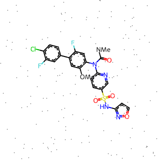 CNC(=O)N(c1ccc(S(=O)(=O)Nc2ccon2)cn1)c1cc(F)c(-c2ccc(Cl)c(F)c2)cc1OC